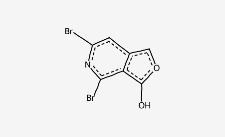 Oc1occ2cc(Br)nc(Br)c12